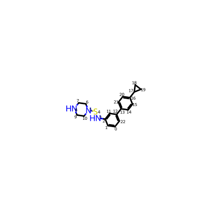 c1cc(NSN2CCNCC2)cc(-c2ccc(C3CC3)cc2)c1